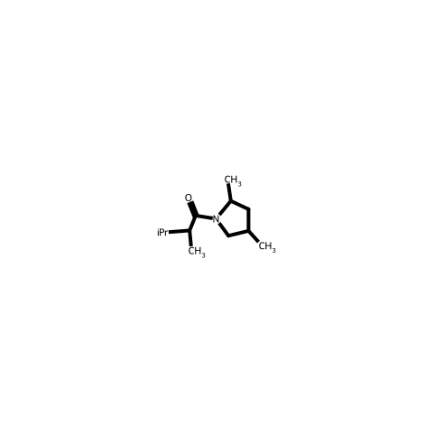 CC1CC(C)N(C(=O)C(C)C(C)C)C1